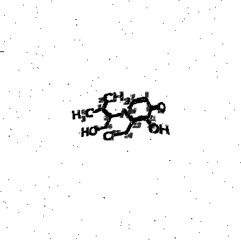 CC(C)[C@H](CO)n1ccc(=O)c(O)c1CCl